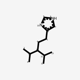 CC(C)C(CCc1c[nH]cn1)C(C)C